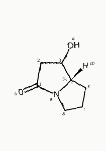 O=C1CC(O)[C@@H]2CCCN12